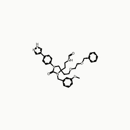 COc1cccc(CN2C(=O)N(c3ccc(-c4cn[nH]c4)cc3)CC2(CCNC=O)CCOCCOCc2ccccc2)c1